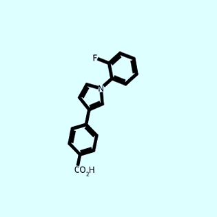 O=C(O)c1ccc(-c2ccn(-c3ccccc3F)c2)cc1